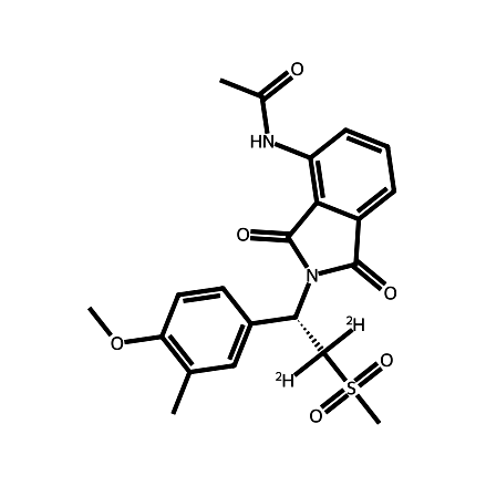 [2H]C([2H])([C@H](c1ccc(OC)c(C)c1)N1C(=O)c2cccc(NC(C)=O)c2C1=O)S(C)(=O)=O